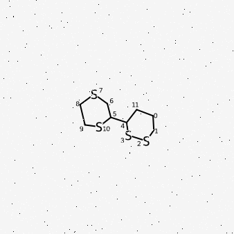 C1CSSC(C2CSCCS2)C1